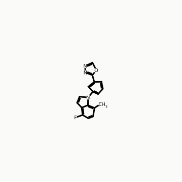 Cc1ccc(F)c2ccn(-c3cccc(-c4nnco4)c3)c12